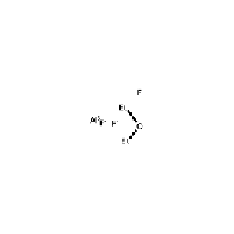 CCOCC.[Al+3].[F-].[F-].[F-]